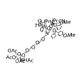 COc1ccc(C(OC[C@]2(COP(OCCC#N)N(C(C)C)C(C)C)CN(CCOCCOCCOCCOCCO[C@@H]3O[C@H](COC(C)=O)[C@H](OC(C)=O)[C@H](OC(C)=O)[C@H]3NC(C)=O)C[C@H](n3cc(C)c(=O)[nH]c3=O)O2)(c2ccccc2)c2ccc(OC)cc2)cc1